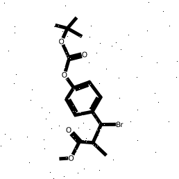 COC(=O)C(C)C(Br)c1ccc(OC(=O)OC(C)(C)C)cc1